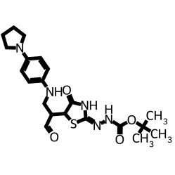 CC(C)(C)OC(=O)N/N=C1\NC(=O)C(C(C=O)CNc2ccc(N3CCCC3)cc2)S1